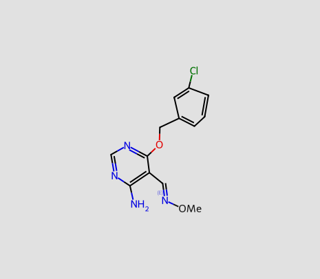 CO/N=C/c1c(N)ncnc1OCc1cccc(Cl)c1